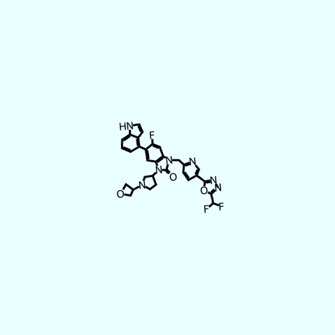 O=c1n(Cc2ccc(-c3nnc(C(F)F)o3)cn2)c2cc(F)c(-c3cccc4[nH]ccc34)cc2n1C1CCN(C2COC2)C1